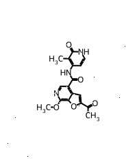 COc1ncc(C(=O)Nc2cc[nH]c(=O)c2C)c2cc(C(C)=O)oc12